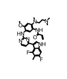 C=CC(=O)Nc1cc(Nc2nccc(-c3c[nH]c4cc(F)c(C)c(F)c34)n2)c(OC)cc1N(C)CCN(C)C